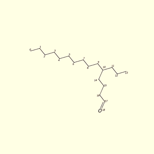 CCCCCCCCCCC(CCC)CCC[C]=O